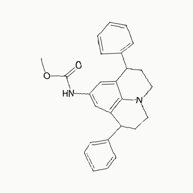 COC(=O)Nc1cc2c3c(c1)C(c1ccccc1)CCN3CCC2c1ccccc1